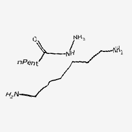 CCCCCC(=O)NN.NCCCCCCN